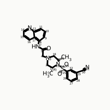 C[C@@H]1CN(CC(=O)Nc2cccc3ncccc23)C[C@H](C)N1S(=O)(=O)c1cccc(C#N)c1